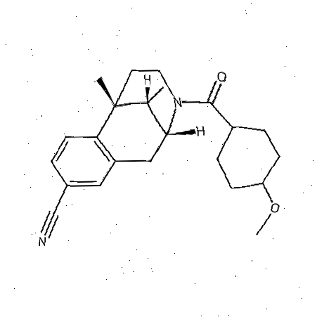 COC1CCC(C(=O)N2CC[C@@]3(C)c4ccc(C#N)cc4C[C@@H]2[C@H]3C)CC1